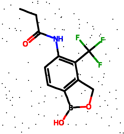 CCC(=O)Nc1ccc2c(c1C(F)(F)F)COB2O